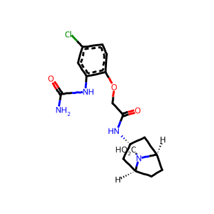 NC(=O)Nc1cc(Cl)ccc1OCC(=O)N[C@@H]1C[C@H]2CC[C@@H](C1)N2C(=O)O